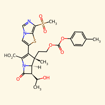 Cc1ccc(OC(=O)OCC[C@@]2(C)C(c3cn4cnc(S(C)(=O)=O)c4s3)=C(C(=O)O)N3C(=O)[C@H](C(C)O)[C@@H]32)cc1